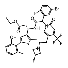 CCOC(=O)C[C@H](NC(=O)C(c1cc(Br)ccc1F)n1cc(CCN2CC(F)C2)c(C(F)(F)F)cc1=O)c1cc(-c2c(C)cccc2O)sc1C